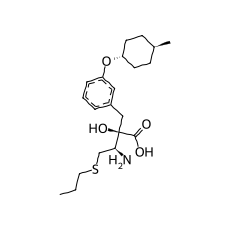 CCCSC[C@H](N)[C@](O)(Cc1cccc(O[C@H]2CC[C@H](C)CC2)c1)C(=O)O